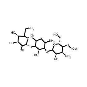 CCCCCCCCOC1[C@@H](N)[C@@H](O)C(O[C@@H]2C(N)CC(N)C(O[C@H]3OC(CN)[C@@H](O)[C@H](O)C3O)[C@@H]2O)O[C@@H]1CO